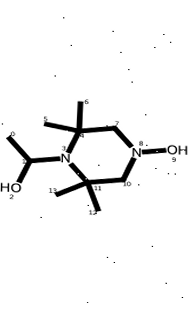 CC(O)N1C(C)(C)CN(O)CC1(C)C